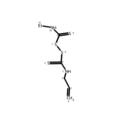 C=CCNC(=S)SSC(=S)NCC